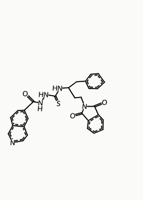 O=C(NNC(=S)NC(CCN1C(=O)c2ccccc2C1=O)Cc1ccccc1)c1ccc2cnccc2c1